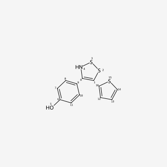 C1=CSSN1.Oc1ccccc1.c1ccsc1